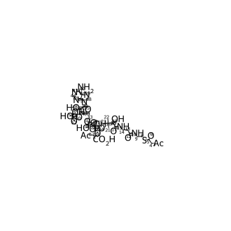 CC(=O)CC(=O)O.CC(=O)CC(=O)SCCNC(=O)CCNC(=O)[C@H](O)C(C)(C)COP(=O)(O)OP(=O)(O)OC[C@H]1O[C@@H](n2cnc3c(N)ncnc32)[C@H](O)[C@@H]1OP(=O)(O)O